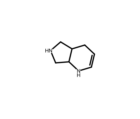 C1=CNC2CNCC2C1